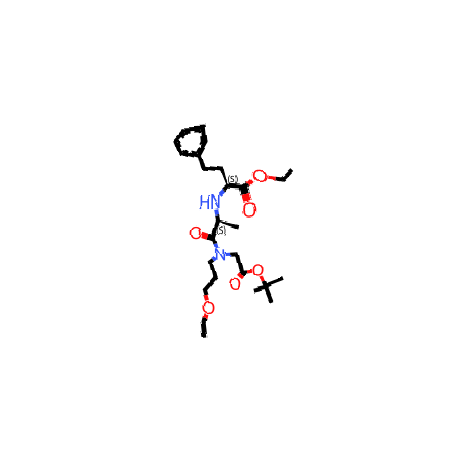 CCOCCCN(CC(=O)OC(C)(C)C)C(=O)[C@H](C)N[C@@H](CCc1ccccc1)C(=O)OCC